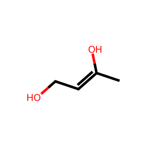 C/C(O)=C/CO